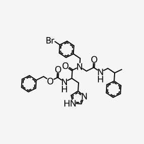 CC(CNC(=O)CN(Cc1ccc(Br)cc1)C(=O)C(Cc1c[nH]cn1)NC(=O)OCc1ccccc1)c1ccccc1